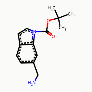 CC(C)(C)OC(=O)n1ccc2ccc(CN)cc21